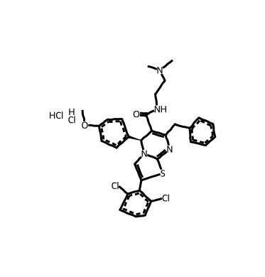 COc1ccc([C@H]2C(C(=O)NCCN(C)C)=C(Cc3ccccc3)N=C3SC(c4c(Cl)cccc4Cl)=CN32)cc1.Cl.Cl